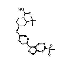 CC(C)(C)C1CC(Oc2ccc(-n3ccc4cc(S(C)(=O)=O)ccc43)cc2)CCN1C(=O)O